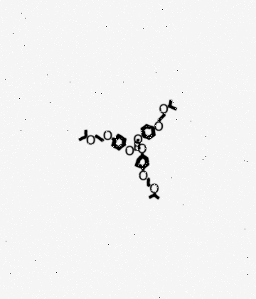 CC(C)OCCOc1ccc(OB(Oc2ccc(OCCOC(C)C)cc2)Oc2ccc(OCCOC(C)C)cc2)cc1